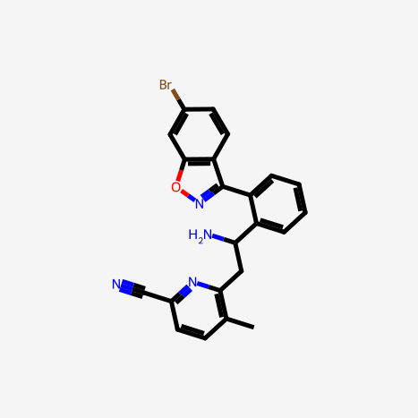 Cc1ccc(C#N)nc1CC(N)c1ccccc1-c1noc2cc(Br)ccc12